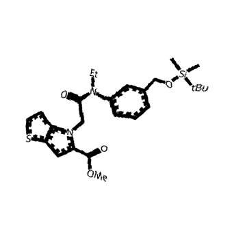 CCN(C(=O)Cn1c(C(=O)OC)cc2sccc21)c1cccc(CO[Si](C)(C)C(C)(C)C)c1